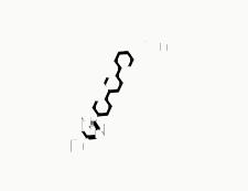 CCCCC[C@H]1CC[C@H]([C@H]2CC[C@H]([C@H]3CC[C@H](c4ncc(CC)cn4)CC3)CC2)CC1